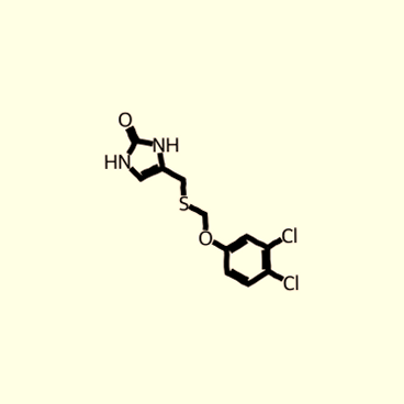 O=c1[nH]cc(CSCOc2ccc(Cl)c(Cl)c2)[nH]1